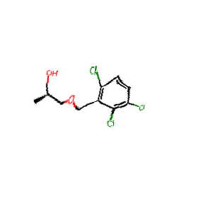 C[C@@H](O)COCc1c(Cl)ccc(Cl)c1Cl